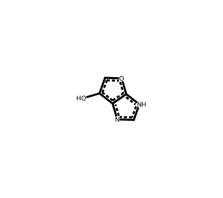 Oc1coc2[nH]cnc12